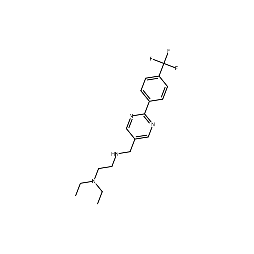 CCN(CC)CCNCc1cnc(-c2ccc(C(F)(F)F)cc2)nc1